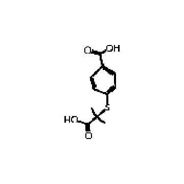 CC(C)(Sc1ccc(C(=O)O)cc1)C(=O)O